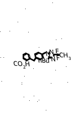 CCCCc1nc(C(C)(F)F)nn1Cc1ccc(Cc2ccccc2C(=O)O)cc1